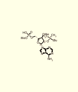 COC1[C@@H](COP(=O)(O)OC)O[C@@H](n2cnc3c(N)ncnc32)[C@H]1O[Si](C)(C)C(C)(C)C